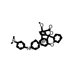 COc1ccc(Nc2ccc(Nc3ccc(N(C)C)cc3)cc2)c2c1C(=O)OC21c2ccccc2Oc2ccccc21